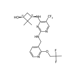 CC(F)(F)COc1ncccc1CNc1ncc(C(F)(F)F)c(N[C@@H]2C[C@H](O)C2(C)C)n1